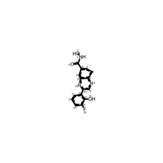 O=C(NO)c1ccc2ncc(-c3cccc(F)c3O)nc2c1